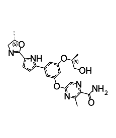 Cc1nc(Oc2cc(O[C@@H](C)CO)cc(-c3ccc(C4=NC[C@H](C)O4)[nH]3)c2)cnc1C(N)=O